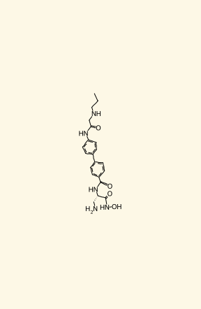 CCCNCC(=O)Nc1ccc(-c2ccc(C(=O)N[C@@H](CN)C(=O)NO)cc2)cc1